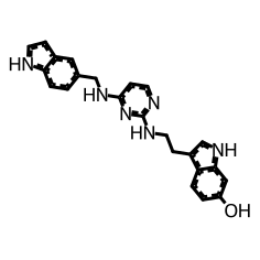 Oc1ccc2c(CCNc3nccc(NCc4ccc5[nH]ccc5c4)n3)c[nH]c2c1